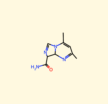 CC1=CC(C)=NC2C(C(N)=O)N=CN12